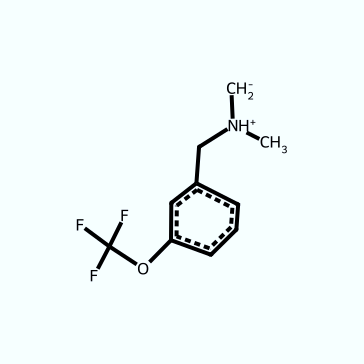 [CH2-][NH+](C)Cc1cccc(OC(F)(F)F)c1